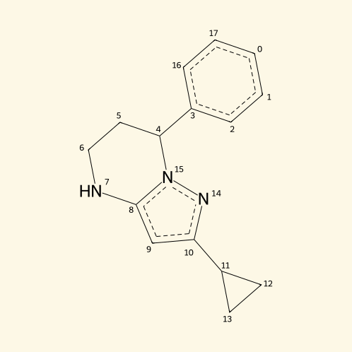 c1ccc(C2CCNc3cc(C4CC4)nn32)cc1